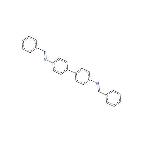 C(=N\c1ccc(-c2ccc(/N=C/c3ccccc3)cc2)cc1)/c1ccccc1